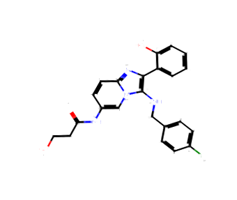 O=C(CCO)Nc1ccc2nc(-c3ccccc3O)c(NCc3ccc(F)cc3)n2c1